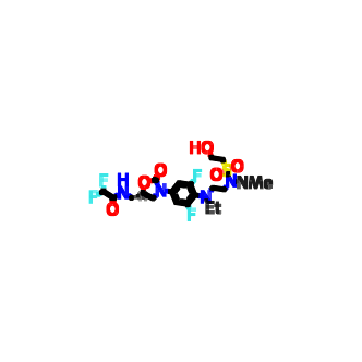 CCN(CCN(NC)S(=O)(=O)CCO)c1c(F)cc(N2C[C@H](CNC(=O)C(F)F)OC2=O)cc1F